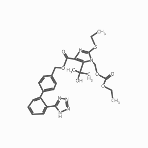 CCOC(=O)OCn1c(SCC)nc(C(=O)OCc2ccc(-c3ccccc3-c3nnn[nH]3)cc2)c1C(C)(C)O